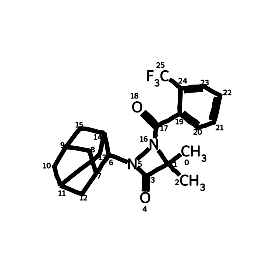 CC1(C)C(=O)N(C2C3CC4CC(C3)CC2C4)N1C(=O)c1ccccc1C(F)(F)F